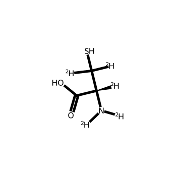 [2H]N([2H])[C@]([2H])(C(=O)O)C([2H])([2H])S